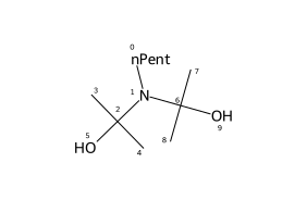 CCCCCN(C(C)(C)O)C(C)(C)O